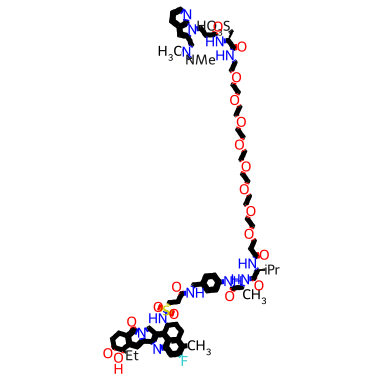 CC[C@@]1(O)C(=O)CCc2c1cc1n(c2=O)Cc2c-1nc1cc(F)c(C)c3c1c2[C@@H](NS(=O)(=O)CCC(=O)NCc1ccc(NC(=O)[C@H](C)NC(=O)[C@@H](NC(=O)CCOCCOCCOCCOCCOCCOCCOCCOCCNC(=O)[C@H](CS(=O)(=O)O)NC(=O)CCn2c(CN(C)NC)cc4cccnc42)C(C)C)cc1)CC3